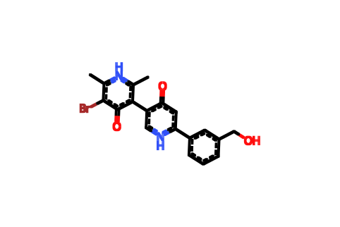 Cc1[nH]c(C)c(-c2c[nH]c(-c3cccc(CO)c3)cc2=O)c(=O)c1Br